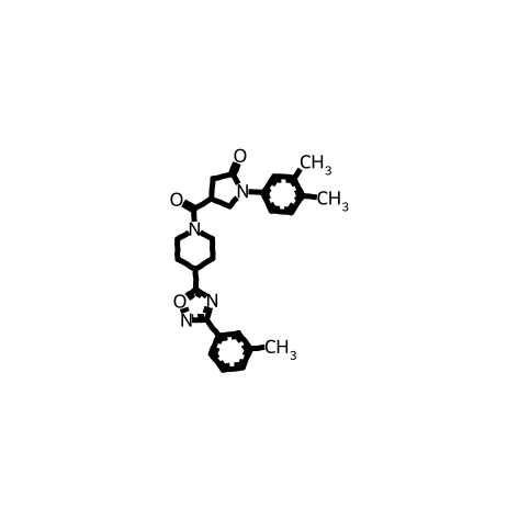 Cc1cccc(-c2noc(C3CCN(C(=O)C4CC(=O)N(c5ccc(C)c(C)c5)C4)CC3)n2)c1